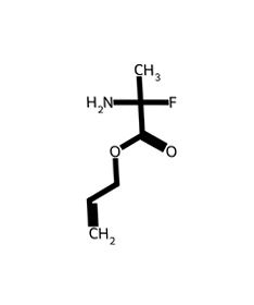 C=CCOC(=O)C(C)(N)F